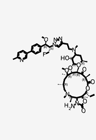 CC[C@H]1OC(=O)[C@H](C)C(=O)[C@H](C)[C@@H](O[C@@H]2O[C@H](C)CC(N(C)CCc3cn([C@H](CF)[C@H](OC)c4ccc(-c5ccc(C)nc5)cc4)nn3)[C@H]2O)[C@](C)(OC)C[C@@H](C)CN(C)[C@H](C)C2N(N)C(=O)O[C@@]21C